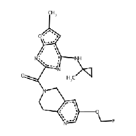 Cc1cc2c(NC3(C)CC3)nc(C(=O)N3CCc4ncc(OCF)cc4C3)nc2o1